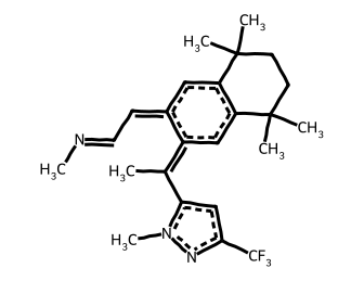 C/N=C/C=c1/cc2c(c/c1=C(/C)c1cc(C(F)(F)F)nn1C)C(C)(C)CCC2(C)C